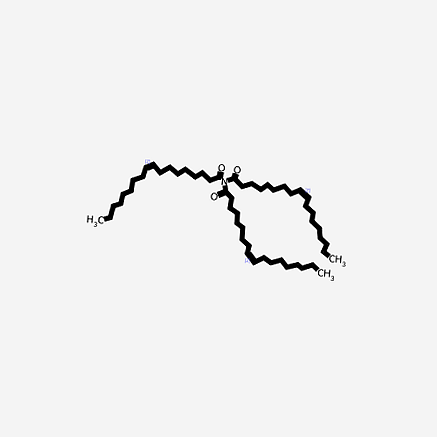 CCCCCCCC/C=C\CCCCCCCC(=O)N(C(=O)CCCCCCC/C=C\CCCCCCCC)C(=O)CCCCCCC/C=C\CCCCCCCC